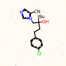 CC(C)(C)C(O)(CCc1ccc(Cl)cc1)Cn1cncc1C#N